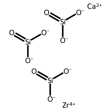 O=[Si]([O-])[O-].O=[Si]([O-])[O-].O=[Si]([O-])[O-].[Ca+2].[Zr+4]